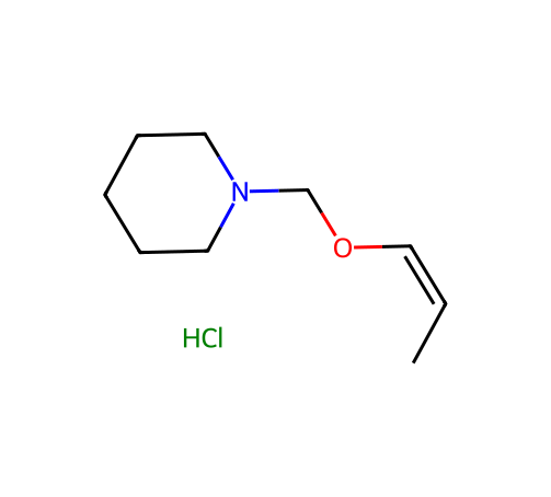 C/C=C\OCN1CCCCC1.Cl